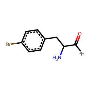 [2H]C(=O)C(N)Cc1ccc(Br)cc1